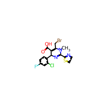 CN1C(c2nccs2)=NC(c2ccc(F)cc2Cl)C(C(=O)O)=C1CBr